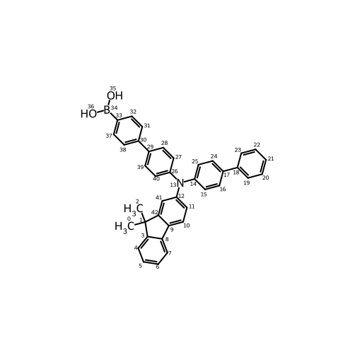 CC1(C)c2ccccc2-c2ccc(N(c3ccc(-c4ccccc4)cc3)c3ccc(-c4ccc(B(O)O)cc4)cc3)cc21